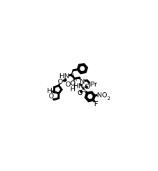 CC(C)CN(C[C@@H](O)[C@H](Cc1ccccc1)NC(=O)OC1CC2CCO[C@@H]2C1)NS(=O)(=O)c1ccc(F)c([N+](=O)[O-])c1